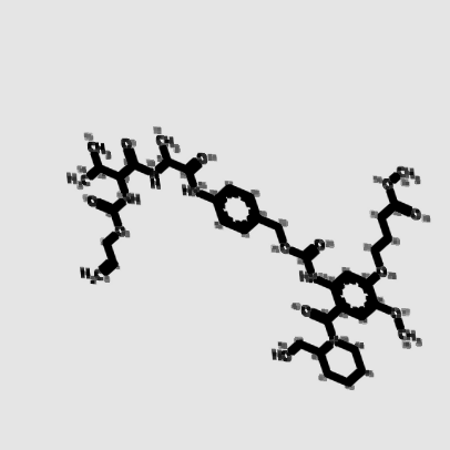 C=CCOC(=O)NC(C(=O)NC(C)C(=O)Nc1ccc(COC(=O)Nc2cc(OCCCC(=O)OC)c(OC)cc2C(=O)N2CCCCC2CO)cc1)C(C)C